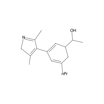 CCCC1=CC(C2=C(C)CN=C2C)=CC(C(C)O)C1